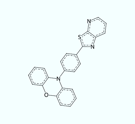 c1ccc2c(c1)Oc1ccccc1N2c1ccc(-c2nc3cccnc3s2)cc1